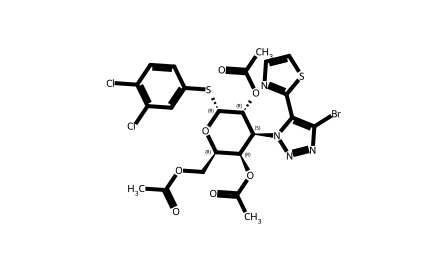 CC(=O)OC[C@H]1O[C@H](Sc2ccc(Cl)c(Cl)c2)[C@H](OC(C)=O)[C@@H](n2nnc(Br)c2-c2nccs2)[C@H]1OC(C)=O